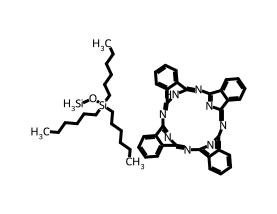 CCCCCC[Si](CCCCCC)(CCCCCC)O[SiH3].c1ccc2c(c1)-c1nc-2nc2[nH]c(nc3nc(nc4[nH]c(n1)c1ccccc41)-c1ccccc1-3)c1ccccc21